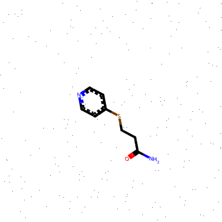 NC(=O)CCSc1ccncc1